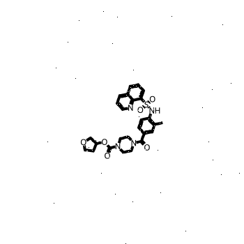 Cc1cc(C(=O)N2CCN(C(=O)OC3CCOC3)CC2)ccc1NS(=O)(=O)c1cccc2cccnc12